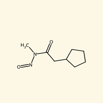 CN(N=O)C(=O)CC1CCCC1